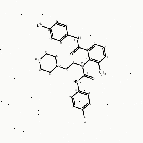 Cc1cccc(C(=O)Nc2ccc(C#N)cc2)c1N(CCN1CCOCC1)C(=O)Nc1ccc(Cl)cc1